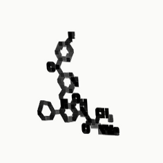 CN[C@@H](C)C(=O)Nc1ccc(C2CCCCC2)n(Cc2cncc(C(=O)c3ccc(F)cc3)c2)c1=O